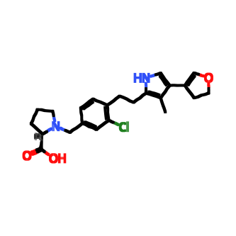 Cc1c(C2=COCC2)c[nH]c1CCc1ccc(CN2CCC[C@@H]2C(=O)O)cc1Cl